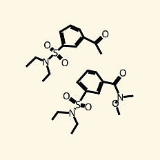 CCN(CC)S(=O)(=O)c1cccc(C(=O)N(C)OC)c1.CCN(CC)S(=O)(=O)c1cccc(C(C)=O)c1